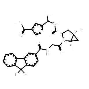 CC(NC(=O)[C@@H]1C[C@]2(C)C[C@@H]2N1C(=O)CNC(=O)c1ccc2c(c1)-c1ccccc1C2(F)F)c1cc(C(=N)N)cs1